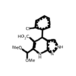 COC(OC)C1=C(C(=O)O)C(c2ccccc2Cl)c2c[nH]nc2N1